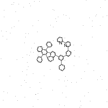 c1ccc(-c2cc(-c3cccc(-c4cccc(-c5ccccn5)n4)c3)cc(-c3ccc4c5c(cccc35)-c3c-4c(-c4ccccc4)c4ccccc4c3-c3ccccc3)c2)cc1